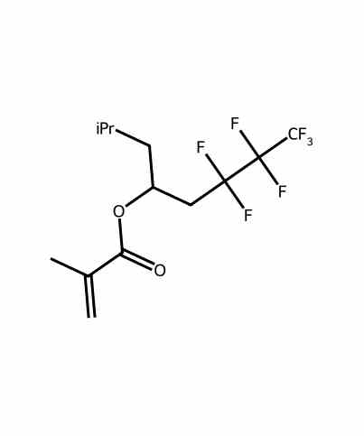 C=C(C)C(=O)OC(CC(C)C)CC(F)(F)C(F)(F)C(F)(F)F